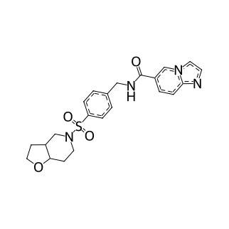 O=C(NCc1ccc(S(=O)(=O)N2CCC3OCCC3C2)cc1)c1ccc2nccn2c1